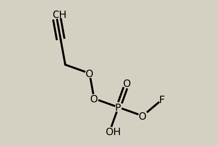 C#CCOOP(=O)(O)OF